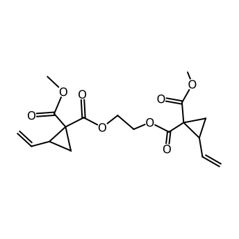 C=CC1CC1(C(=O)OC)C(=O)OCCOC(=O)C1(C(=O)OC)CC1C=C